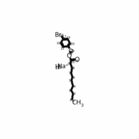 CCCCCCCCCCC(=O)OOc1ccc(Br)cc1.[H-].[Na+]